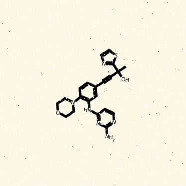 CC(O)(C#Cc1ccc(N2CCOCC2)c(Nc2ccnc(N)n2)c1)c1nccs1